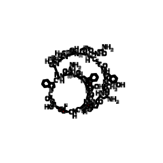 CCCC[C@H]1C(=O)N(C)[C@@H](CCCC)C(=O)N[C@@H](CC(C)C)C(=O)N[C@H](C(=O)NCC(N)=O)CSCC(=O)N[C@@H](Cc2ccc(O)cc2)C(=O)N(C)[C@@H](C)C(=O)N[C@@H](CC(N)=O)C(=O)N2CCC[C@H]2C(=O)N[C@H]2CNCc3ccc(cc3F)B(O)OC(=O)Cn3cc(c4ccccc43)C[C@H](NC(=O)[C@H](CCN)NC(=O)[C@H](Cc3c[nH]c4ccccc34)NC(=O)[C@@H]3C[C@@H](O)CN3C(=O)[C@H](CC(C)C)NC2=O)C(=O)N1C